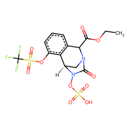 CCOC(=O)C1c2cccc(OS(=O)(=O)C(F)(F)F)c2[C@H]2CN1C(=O)N2OS(=O)(=O)O